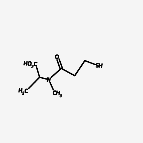 CC(C(=O)O)N(C)C(=O)CCS